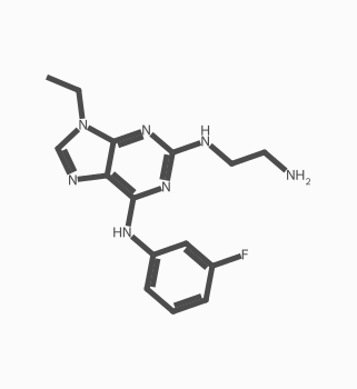 CCn1cnc2c(Nc3cccc(F)c3)nc(NCCN)nc21